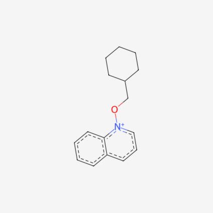 c1ccc2c(c1)ccc[n+]2OCC1CCCCC1